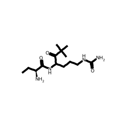 CC[C@H](N)C(=O)NC(CCCNC(N)=O)C(=O)C(C)(C)C